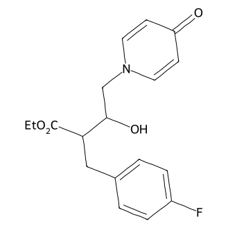 CCOC(=O)C(Cc1ccc(F)cc1)C(O)Cn1ccc(=O)cc1